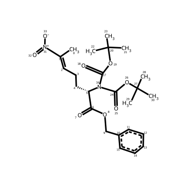 C/C(=C\CC[C@@H](C(=O)OCc1ccccc1)N(C(=O)OC(C)(C)C)C(=O)OC(C)(C)C)[N+](=O)[O-]